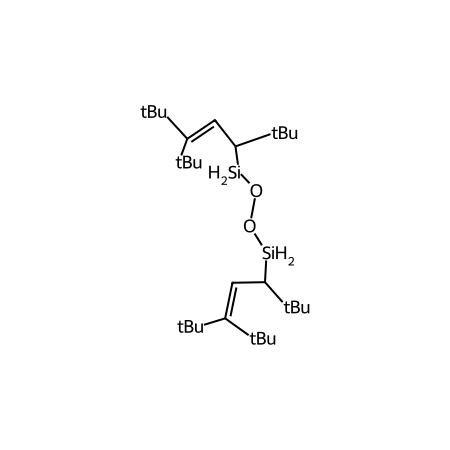 CC(C)(C)C(=CC([SiH2]OO[SiH2]C(C=C(C(C)(C)C)C(C)(C)C)C(C)(C)C)C(C)(C)C)C(C)(C)C